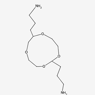 NCCCC1COCCOC(CCCN)OCCO1